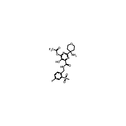 CS(=O)(=O)c1cc(F)ccc1CNC(=O)c1nc(C2(N)CCOCC2)nc(OC(=O)C(F)(F)F)c1O